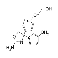 Bc1cccc(C2(c3ccc(OCCO)cc3)COC(N)=N2)c1